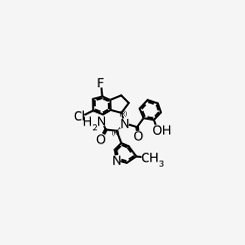 Cc1cncc([C@H](C(N)=O)N(C(=O)c2ccccc2O)[C@@H]2CCc3c(F)cc(Cl)cc32)c1